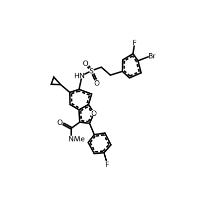 CNC(=O)c1c(-c2ccc(F)cc2)oc2cc(NS(=O)(=O)CCc3ccc(Br)c(F)c3)c(C3CC3)cc12